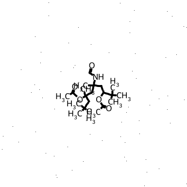 CC(=O)OC(CC(C)(CC(C)(CC(C)(C)C)OC(C)=O)NC=O)C(C)(C)C